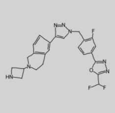 Fc1cc(-c2nnc(C(F)F)o2)ccc1Cn1cc(-c2ccc3c(c2)CCN(C2CNC2)C3)nn1